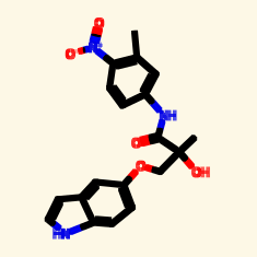 Cc1cc(NC(=O)C(C)(O)COc2ccc3[nH]ccc3c2)ccc1[N+](=O)[O-]